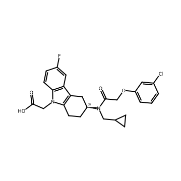 O=C(O)Cn1c2c(c3cc(F)ccc31)C[C@@H](N(CC1CC1)C(=O)COc1cccc(Cl)c1)CC2